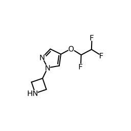 FC(F)C(F)Oc1cnn(C2CNC2)c1